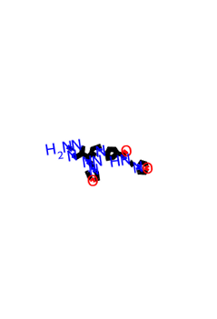 Nc1ncc(-c2nc(N3CCOCC3)nc3c2CCN3c2ccc(C(=O)NCCN3CCOCC3)cc2)cn1